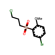 COc1ccc(Br)cc1S(=O)(=O)CCCCl